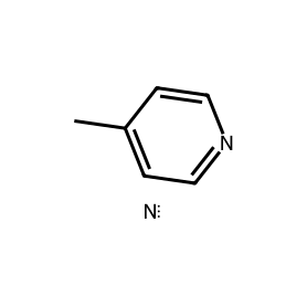 Cc1ccncc1.[N]